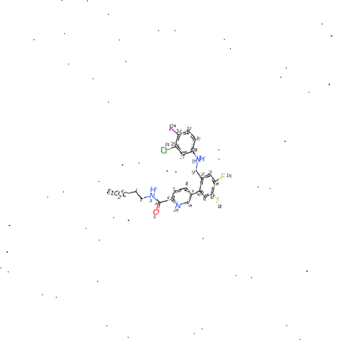 CCOC(=O)CCNC(=O)c1ccc(-c2cc(F)c(F)cc2CNc2ccc(I)c(Cl)c2)cn1